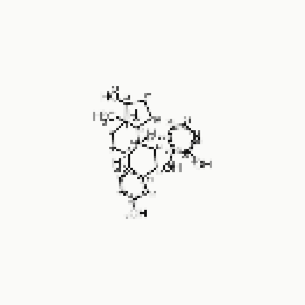 C[C@]12CC[C@@H]3c4ccc(O)cc4CC[C@H]3[C@@H]1CC[C@@H]2O.Oc1cccnc1O